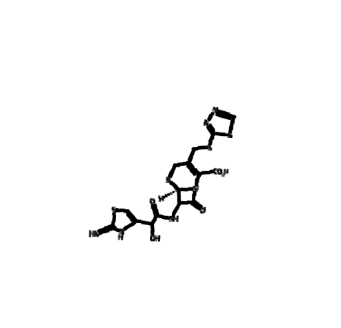 N=c1[nH]c(C(O)C(=O)NC2C(=O)N3C(C(=O)O)=C(CSc4nncs4)CS[C@H]23)cs1